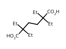 CCC(CC)(CCC(CC)(CC)C(=O)O)C(=O)O